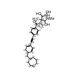 CNC(O)C(C)(C(O)NO)N(C)C(=O)c1ccc(C#CC2=CCC(CN3CCCOCC3)C=C2)cc1